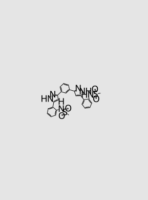 CS(=O)(=O)Nc1ccccc1-c1cc(-c2cccc(-c3cc(-c4ccccc4NS(C)(=O)=O)[nH]n3)c2)n[nH]1